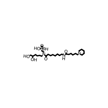 O=C(CCCCCN1CCCCC1)NCCCCCCCC(=O)N(CCCCC(O)CO)CCP(=O)(O)O